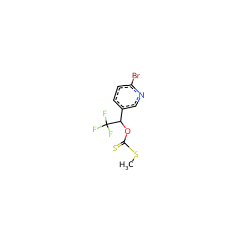 CSC(=S)OC(c1ccc(Br)nc1)C(F)(F)F